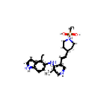 Cc1c(Nc2c(C#N)cncc2C=CC2CCN(S(=O)(=O)C(C)C)CC2)ccc2[nH]ccc12